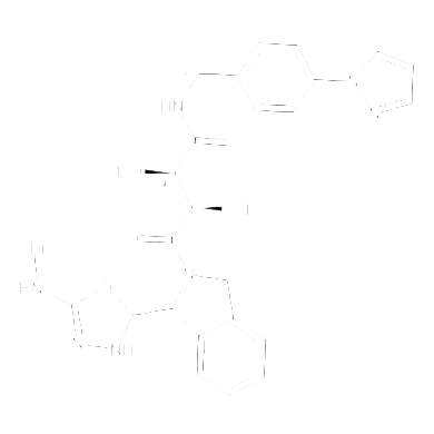 CCNC1=NNC(C2c3ccccc3CN2C(=O)[C@H](O)[C@@H](O)C(=O)N[C@H](C)c2ccc(-n3cccn3)cc2)O1